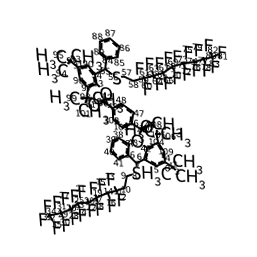 CC(C)(C)c1cc(C(SCCC(F)(F)C(F)(F)C(F)(F)C(F)(F)C(F)(F)C(F)(F)C(F)(F)C(F)(F)F)c2ccccc2)c(OC(=O)c2ccc(C(=O)Oc3c(C(SCCC(F)(F)C(F)(F)C(F)(F)C(F)(F)C(F)(F)C(F)(F)C(F)(F)C(F)(F)F)c4ccccc4)cc(C(C)(C)C)cc3C(C)(C)C)cc2)c(C(C)(C)C)c1